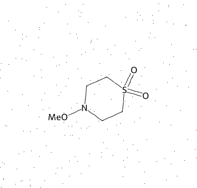 CON1CCS(=O)(=O)CC1